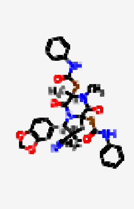 CN1C(=O)C2(SC(=O)Nc3ccccc3)C[C@](C)(C#N)[C@H](c3ccc4c(c3)OCO4)N2C(=O)[C@]1(C)SC(=O)Nc1ccccc1